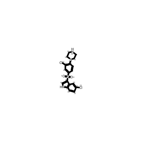 O=S(=O)(c1ccc(N2CCNCC2)c(Cl)c1)c1c[nH]c2ccc(Cl)cc12